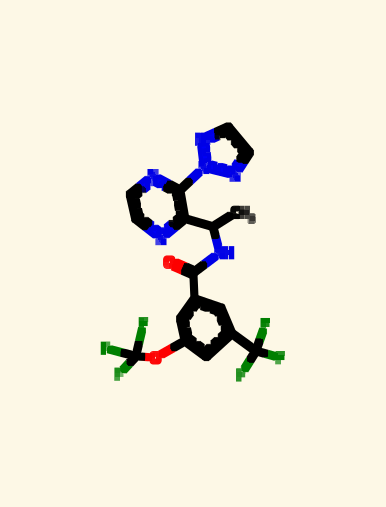 CC(NC(=O)c1cc(OC(F)(F)F)cc(C(F)(F)F)c1)c1nccnc1-n1nccn1